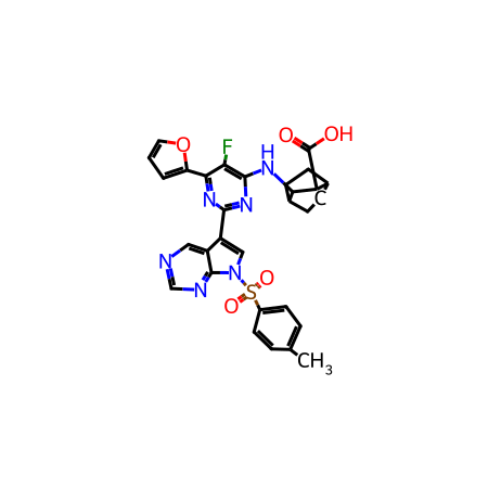 Cc1ccc(S(=O)(=O)n2cc(-c3nc(NC4C5CCC(CC5)C4C(=O)O)c(F)c(-c4ccco4)n3)c3cncnc32)cc1